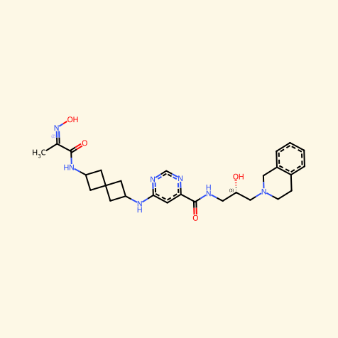 C/C(=N/O)C(=O)NC1CC2(C1)CC(Nc1cc(C(=O)NC[C@H](O)CN3CCc4ccccc4C3)ncn1)C2